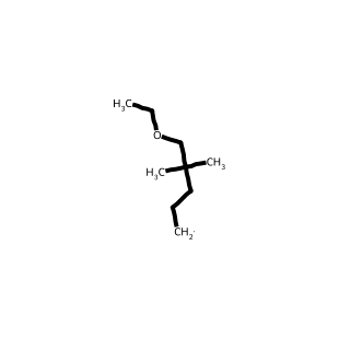 [CH2]CCC(C)(C)COCC